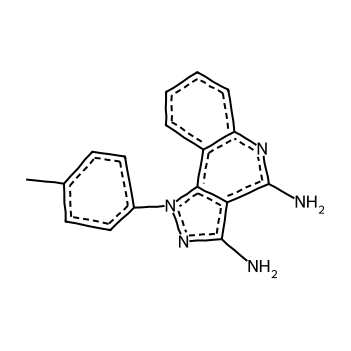 Cc1ccc(-n2nc(N)c3c(N)nc4ccccc4c32)cc1